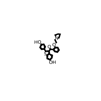 O=C(c1ccccc1OCCN1CCCC1)c1c(-c2ccc(O)cc2)sc2cc(O)ccc12